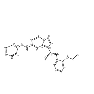 CCOc1ccccc1NC(=O)c1cnn2ccc(NCc3cccnc3)nc12